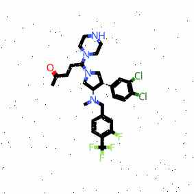 CC(=O)CCC(N1CCNCC1)N1C[C@H](c2ccc(Cl)c(Cl)c2)[C@H](N(C)Cc2ccc(C(F)(F)F)c(F)c2)C1